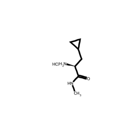 CNC(=O)[C@@H](N)CC1CC1.Cl